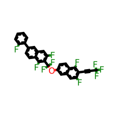 Fc1ccccc1-c1ccc2c(F)c(C(F)(F)Oc3ccc4c(F)c(C#CC(F)(F)F)c(F)cc4c3)c(F)cc2c1